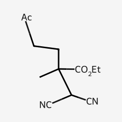 CCOC(=O)C(C)(CCC(C)=O)C(C#N)C#N